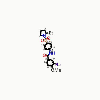 CC[C@H]1CCCN1S(=O)(=O)c1ccc(NC(=O)c2ccc(OC)c(I)c2)cc1